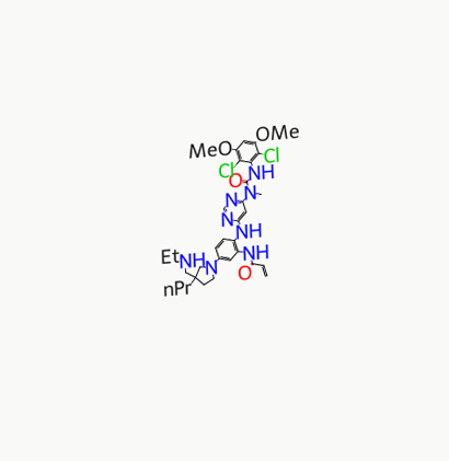 C=CC(=O)Nc1cc(N2CCC(CCC)(CNCC)C2)ccc1Nc1cc(N(C)C(=O)Nc2c(Cl)c(OC)cc(OC)c2Cl)ncn1